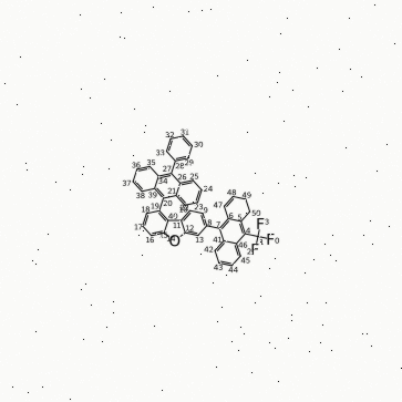 FC(F)(F)c1c2c(c(-c3ccc4c(c3)oc3cccc(-c5c6ccccc6c(-c6ccccc6)c6ccccc56)c34)c3ccccc13)C=CCC2